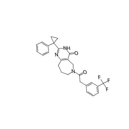 O=C(Cc1cccc(C(F)(F)F)c1)N1CCCc2nc(C3(c4ccccc4)CC3)[nH]c(=O)c2C1